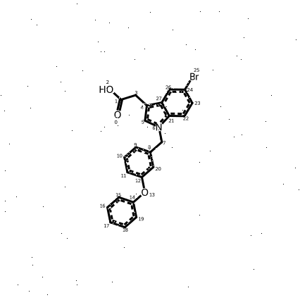 O=C(O)Cc1cn(Cc2cccc(Oc3ccccc3)c2)c2ccc(Br)cc12